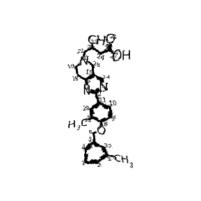 Cc1cccc(COc2ccc(-c3ncc4c(n3)CCN(CC(C)CC(=O)O)C4)cc2C)c1